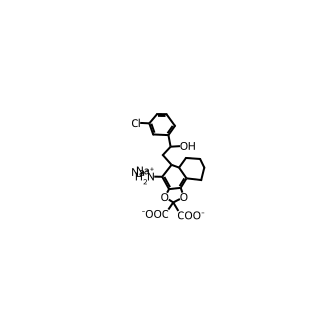 NC1=C2OC(C(=O)[O-])(C(=O)[O-])OC2=C2CCCCC2C1CC(O)c1cccc(Cl)c1.[Na+].[Na+]